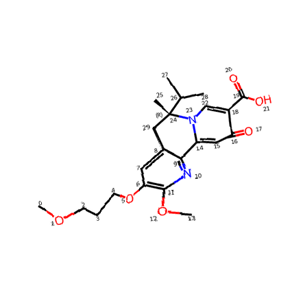 COCCCOc1cc2c(nc1OC)-c1cc(=O)c(C(=O)O)cn1[C@@](C)(C(C)C)C2